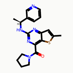 Cc1cc2nc(N[C@@H](C)c3cccnc3)nc(C(=O)N3CCCC3)c2s1